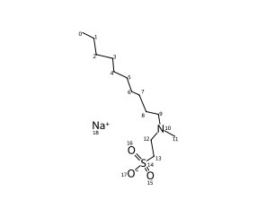 CCCCCCCCCCN(C)CCS(=O)(=O)[O-].[Na+]